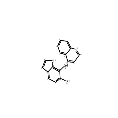 Oc1ccc2cc[nH]c2c1O.c1ccc2ncccc2c1